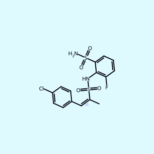 C/C(=C/c1ccc(Cl)cc1)S(=O)(=O)Nc1c(F)cccc1S(N)(=O)=O